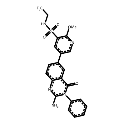 COc1ncc(-c2ccc3nc(N)n(-c4ccccc4)c(=O)c3c2)cc1S(=O)(=O)NCC(F)(F)F